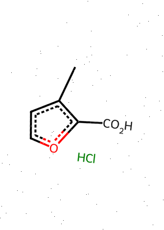 Cc1ccoc1C(=O)O.Cl